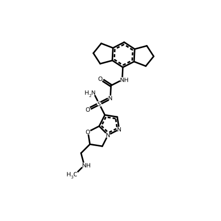 CNCC1Cn2ncc(S(N)(=O)=NC(=O)Nc3c4c(cc5c3CCC5)CCC4)c2O1